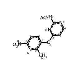 CC(=O)Nc1nccc(Oc2ccc([N+](=O)[O-])nc2C)n1